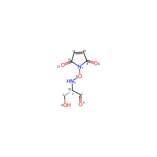 O=C[C@H](CO)NON1C(=O)C=CC1=O